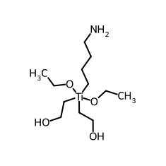 CC[O][Ti]([CH2]CO)([CH2]CO)([CH2]CCCN)[O]CC